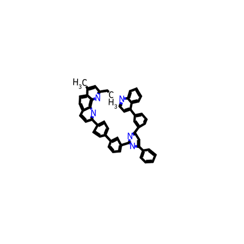 CCc1cc(C)c2ccc3ccc(-c4ccc(-c5cccc(-c6nc(-c7ccccc7)cc(-c7cccc(-c8ccnc9ccccc89)c7)n6)c5)cc4)nc3c2n1